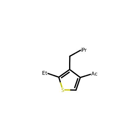 CCc1scc(C(C)=O)c1CC(C)C